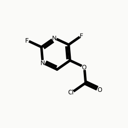 O=C(Cl)Oc1cnc(F)nc1F